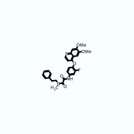 COc1cc2nccc(Oc3ccc(NC(=O)C(=O)N(C)CCc4ccccc4)cc3F)c2cc1OC